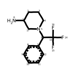 NC1CCCN(C(c2ccccc2)C(F)(F)F)C1